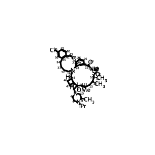 CO[C@]1(CN2CCN(C(C)C)[C@H](C)C2)/C=C/C[C@H](C)[C@@H](C)S(=O)(=O)NC(=O)c2ccc3c(c2)N(CCCCc2cc(Cl)ccc2CO3)C[C@@H]2CC[C@H]21